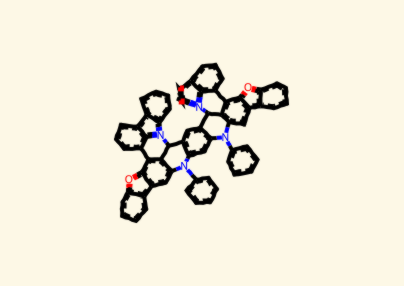 c1ccc(N2c3cc4c(cc3C3c5c2cc2c(oc6ccccc62)c5-c2cccc5c6ccccc6n3c25)C2c3c(cc5c(oc6ccccc65)c3-c3cccc5c6ccccc6n2c35)N4c2ccccc2)cc1